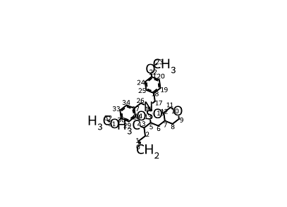 C=CCC(C)C(CC1CCOCC1)S(=O)(=O)N(Cc1ccc(OC)cc1)Cc1ccc(OC)cc1